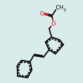 CC(=O)OCc1cccc(C=Cc2ccccc2)c1